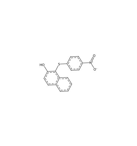 O=[N+]([O-])c1ccc(Sc2c(O)ccc3ccccc23)cc1